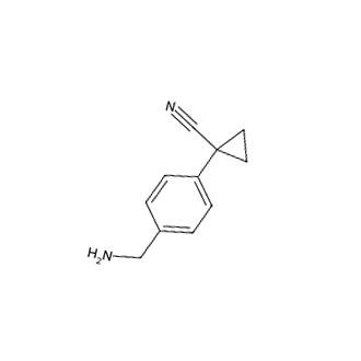 N#CC1(c2ccc(CN)cc2)CC1